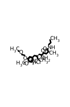 CCCCNC(=O)[C@H](C)C[C@H](O)[C@@H](N)C[C@H](Cc1ccc(OC)c(OCCOCC)c1)C(C)C.Cl